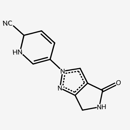 N#CC1C=CC(n2cc3c(n2)CNC3=O)=CN1